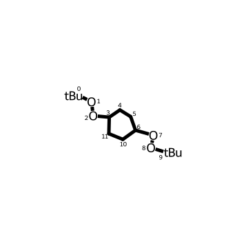 CC(C)(C)OOC1CCC(OOC(C)(C)C)CC1